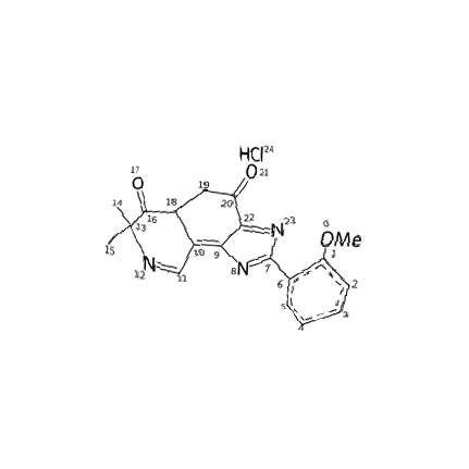 COc1ccccc1C1=NC2=C3C=NC(C)(C)C(=O)C3CC(=O)C2=N1.Cl